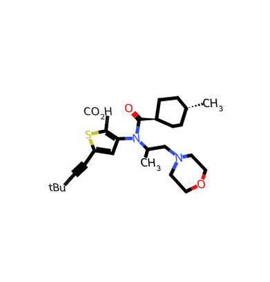 CC(CN1CCOCC1)N(c1cc(C#CC(C)(C)C)sc1C(=O)O)C(=O)[C@H]1CC[C@H](C)CC1